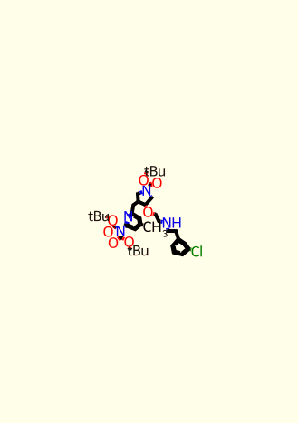 Cc1cc(CC2CN(C(=O)OC(C)(C)C)CC2OCCNCCc2cccc(Cl)c2)nc(N(C(=O)OC(C)(C)C)C(=O)OC(C)(C)C)c1